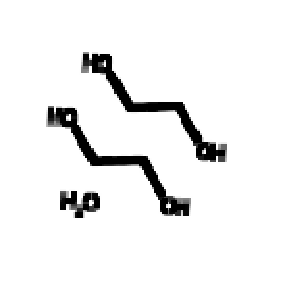 O.OCCO.OCCO